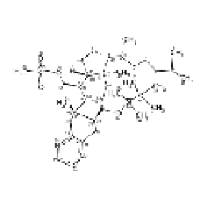 CC(C)CCC[C@@H](C)[C@H]1CC[C@H]2[C@H](COS(C)(=O)=O)[C@@H]([C@@]3(C)Cc4nccnc4C[C@@H]3CO[Si](C)(C)C(C)(C)C)CC[C@]12C